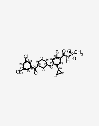 CS(=O)(=O)NC(=O)c1cc(C2CC2)c(OC2CCCN(C(=O)c3cc(Cl)cc(Cl)c3)C2)cc1F